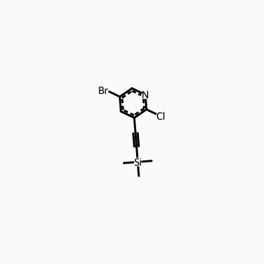 C[Si](C)(C)C#Cc1cc(Br)cnc1Cl